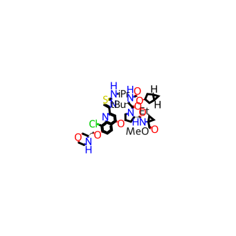 CC[C@@H]1C[C@]1(NC(=O)[C@@H]1C[C@@H](Oc2cc(-c3csc(NC(C)C)n3)nc3c(Cl)c(OC[C@H]4COCCN4)ccc23)CN1C(=O)[C@@H](NC(=O)O[C@@H]1C[C@@H]2C[C@@H]2C1)C(C)(C)C)C(=O)OC